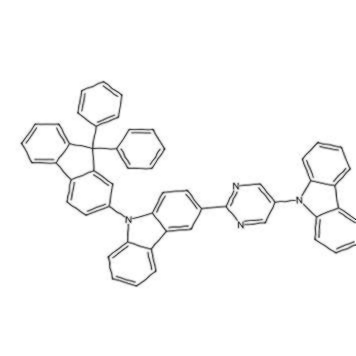 c1ccc(C2(c3ccccc3)c3ccccc3-c3ccc(-n4c5ccccc5c5cc(-c6ncc(-n7c8ccccc8c8ccccc87)cn6)ccc54)cc32)cc1